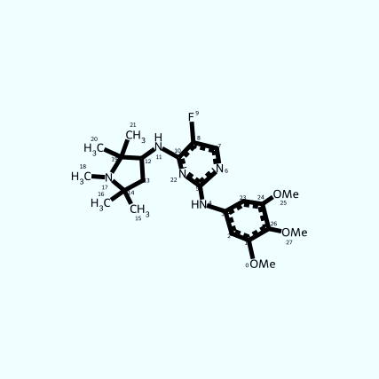 COc1cc(Nc2ncc(F)c(NC3CC(C)(C)N(C)C3(C)C)n2)cc(OC)c1OC